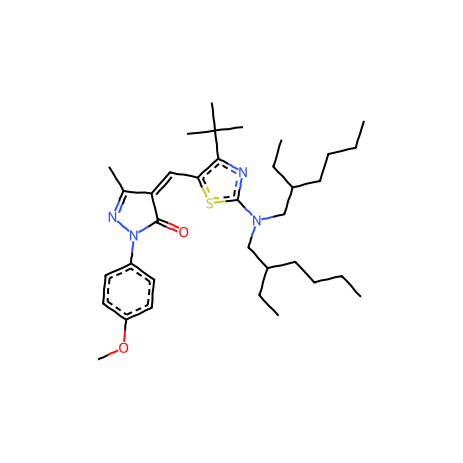 CCCCC(CC)CN(CC(CC)CCCC)c1nc(C(C)(C)C)c(/C=C2\C(=O)N(c3ccc(OC)cc3)N=C2C)s1